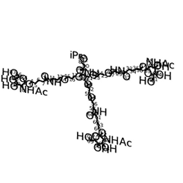 CC(=O)NC1C(OCCCCC(=O)NCCCOCCCOCC(COCCCOCCCNC(=O)CCCCOC2OC(CO)C(O)C(O)C2NC(C)=O)(COCCCOCCCNC(=O)CCCCOC2OC(CO)C(O)C(O)C2NC(C)=O)NC(=O)CCOC(C)C)OC(CO)C(O)C1O